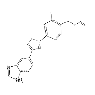 C=CCCc1ccc(C2=NC(c3ccc4[nH]cnc4c3)=CC2)cc1C